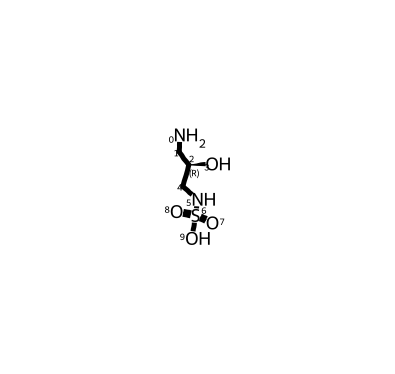 NC[C@@H](O)CNS(=O)(=O)O